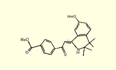 COC(=O)c1ccc(C(=O)/C=C2\NC(C)(C)C(C)(C)c3ccc(OC)cc32)cc1